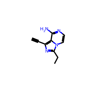 C#Cc1nc(CC)n2ccnc(N)c12